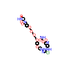 CNC(=O)COc1cc2cc(Nc3nc(N4CCC(Oc5ccc(OCCCOCCOCCOc6ccc7c(c6)CN(C6CCC(=O)NC6=O)C7=O)cc5)CC4)ncc3Cl)ccc2n(C)c1=O